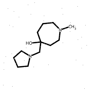 CN1CCCC(O)(CN2CCCC2)CC1